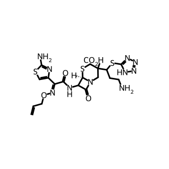 C=CCON=C(C(=O)NC1C(=O)N2CC(C(=O)O)(C(CCN)Sc3nnn[nH]3)CS[C@H]12)c1csc(N)n1